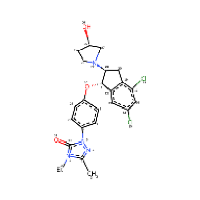 CCn1c(C)nn(-c2ccc(O[C@H]3c4cc(Cl)cc(Cl)c4C[C@@H]3N3CC[C@@H](O)C3)cc2)c1=O